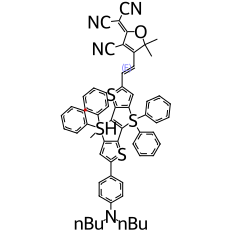 CCCCN(CCCC)c1ccc(-c2cc3c(s2)C2=C(c4sc(/C=C/C5=C(C#N)C(=C(C#N)C#N)OC5(C)C)cc4S2(c2ccccc2)c2ccccc2)[SH]3(C)(c2ccccc2)c2ccccc2)cc1